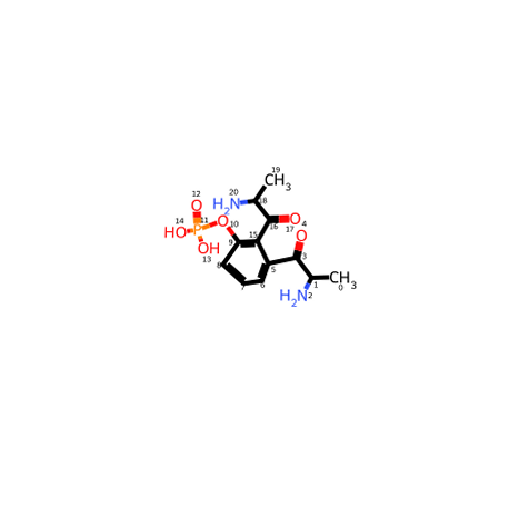 CC(N)C(=O)c1cccc(OP(=O)(O)O)c1C(=O)C(C)N